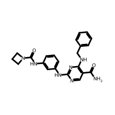 NC(=O)c1cnc(Nc2cccc(NC(=O)N3CCC3)c2)nc1NCc1ccccc1